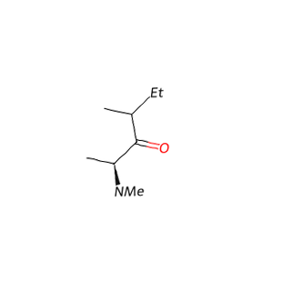 CCC(C)C(=O)[C@H](C)NC